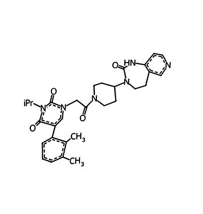 Cc1cccc(-c2cn(CC(=O)N3CCC(N4CCc5cnccc5NC4=O)CC3)c(=O)n(C(C)C)c2=O)c1C